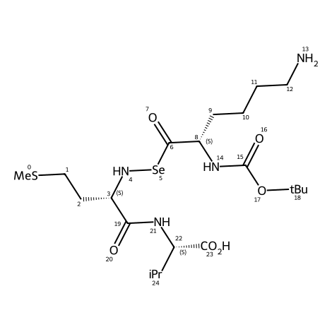 CSCC[C@H](N[Se]C(=O)[C@H](CCCCN)NC(=O)OC(C)(C)C)C(=O)N[C@H](C(=O)O)C(C)C